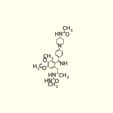 CNC(=O)NC(C)Cc1cc(OC)c(OC)cc1C(=N)c1ccc(N2CCC(NC(C)=O)CC2)cc1